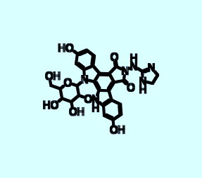 O=C1c2c(c3c4ccc(O)cc4n(C4OC(CO)C(O)C(O)C4O)c3c3[nH]c4cc(O)ccc4c23)C(=O)N1NC1=NCCN1